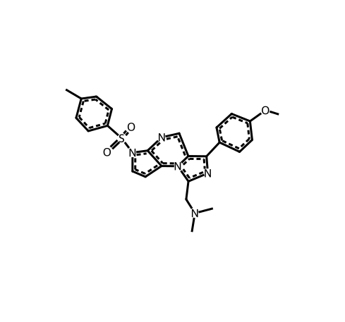 COc1ccc(-c2nc(CN(C)C)n3c2cnc2c3ccn2S(=O)(=O)c2ccc(C)cc2)cc1